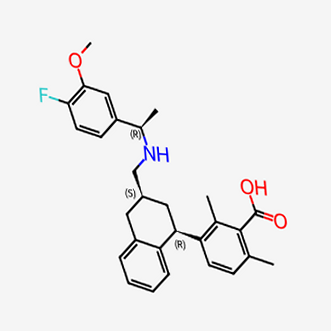 COc1cc([C@@H](C)NC[C@@H]2Cc3ccccc3[C@H](c3ccc(C)c(C(=O)O)c3C)C2)ccc1F